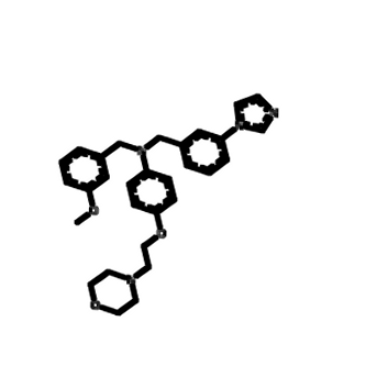 COc1cccc(CN(Cc2cccc(-n3ccnc3)c2)c2ccc(OCCN3CCOCC3)cc2)c1